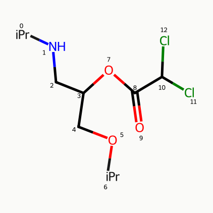 CC(C)NCC(COC(C)C)OC(=O)C(Cl)Cl